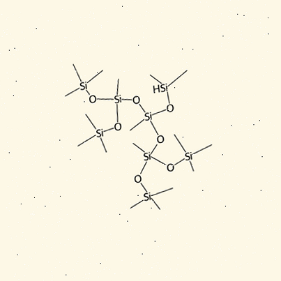 C[SiH](C)O[Si](C)(O[Si](C)(O[Si](C)(C)C)O[Si](C)(C)C)O[Si](C)(O[Si](C)(C)C)O[Si](C)(C)C